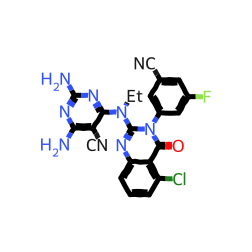 CCN(c1nc(N)nc(N)c1C#N)c1nc2cccc(Cl)c2c(=O)n1-c1cc(F)cc(C#N)c1